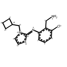 NCc1c(Cl)cccc1N=c1sccn1CC1CCC1